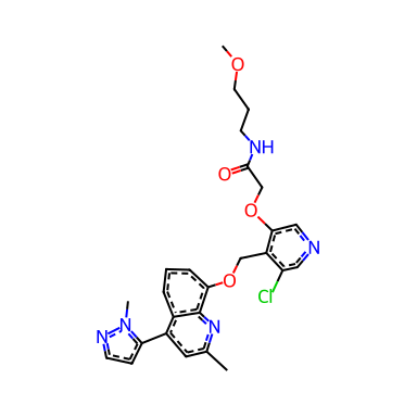 COCCCNC(=O)COc1cncc(Cl)c1COc1cccc2c(-c3ccnn3C)cc(C)nc12